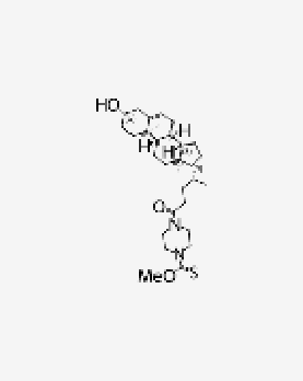 COC(=S)N1CCN(C(=O)CCC(C)[C@H]2CC[C@H]3[C@@H]4CC=C5C[C@@H](O)CC[C@]5(C)[C@H]4CC[C@]23C)CC1